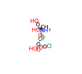 C[C@@H](NCCOC1(F)C=CC(c2ccc(C(=O)O)c(Oc3ccc(Cl)cc3)c2)=CC1F)[C@@H](O)c1ccc(O)cc1